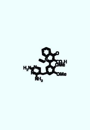 C=Cn1c(-c2cc(Cc3cnc(N)nc3N)cc(OC)c2OC)c(C(=O)O)c(=O)c2ccccc21